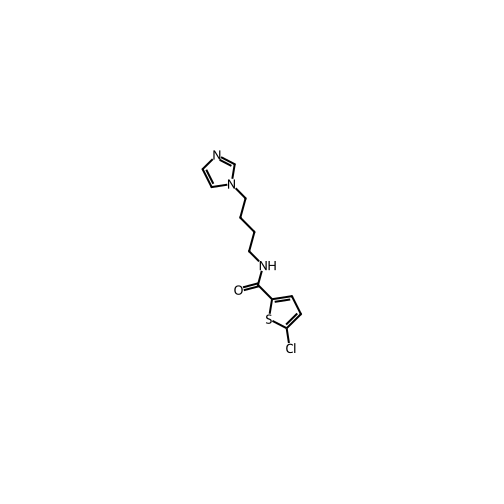 O=C(NCCCCn1ccnc1)c1ccc(Cl)s1